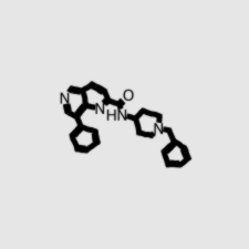 O=C(NC1CCN(Cc2ccccc2)CC1)c1ccc2cncc(-c3ccccc3)c2n1